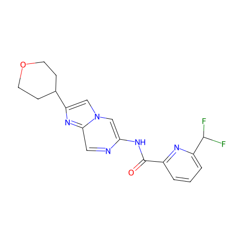 O=C(Nc1cn2cc(C3CCOCC3)nc2cn1)c1cccc(C(F)F)n1